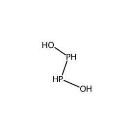 OPPO